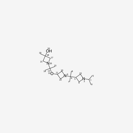 CC(C)N1CC(C(C)(C)N2CC(OC(C)(C)N3CC(C)(O)C3)C2)C1